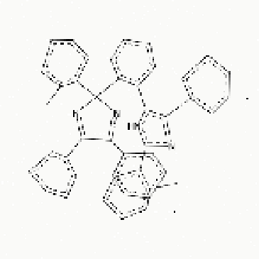 Cc1ccccc1-c1nc(-c2ccccc2)c(-c2ccccc2C2(c3ccccc3C)N=C(c3ccccc3)C(c3ccccc3)=N2)[nH]1